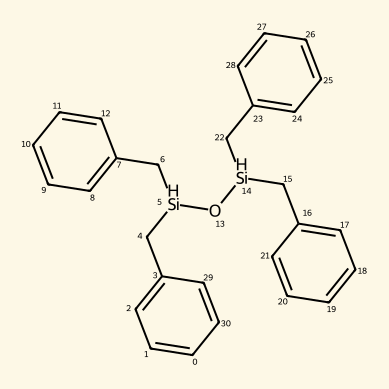 c1ccc(C[SiH](Cc2ccccc2)O[SiH](Cc2ccccc2)Cc2ccccc2)cc1